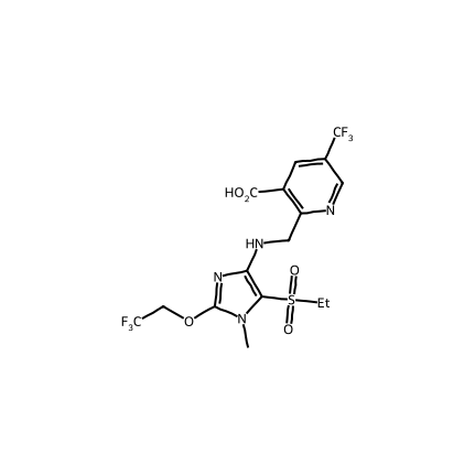 CCS(=O)(=O)c1c(NCc2ncc(C(F)(F)F)cc2C(=O)O)nc(OCC(F)(F)F)n1C